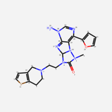 CN1C(=O)N(CCN2CCc3sccc3C2)C2N=C3C(=C(c4ccco4)N=CN3N)N21